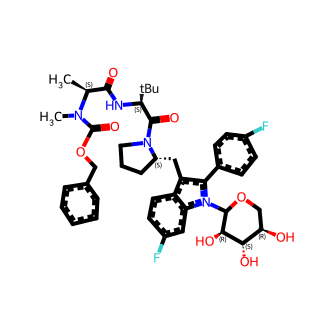 C[C@@H](C(=O)N[C@H](C(=O)N1CCC[C@H]1Cc1c(-c2ccc(F)cc2)n(C2OC[C@@H](O)[C@H](O)[C@H]2O)c2cc(F)ccc12)C(C)(C)C)N(C)C(=O)OCc1ccccc1